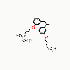 CC(Cc1cccc(OCCCS(=O)(=O)O)c1)c1cccc(OCCCS(=O)(=O)O)c1.[NaH].[NaH]